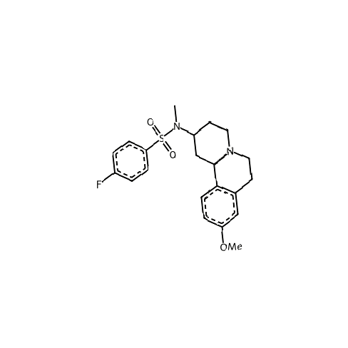 COc1ccc2c(c1)CCN1CCC(N(C)S(=O)(=O)c3ccc(F)cc3)CC21